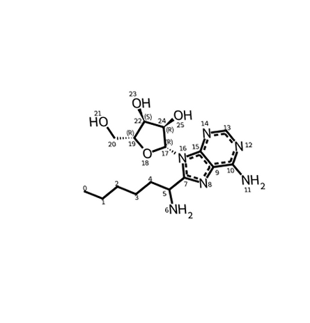 CCCCCC(N)c1nc2c(N)ncnc2n1[C@@H]1O[C@H](CO)[C@@H](O)[C@H]1O